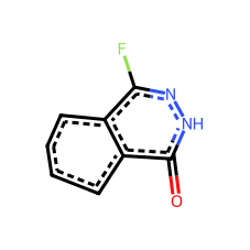 O=c1[nH]nc(F)c2ccccc12